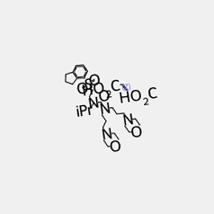 CC(C)N(CCS(=O)(=O)c1cccc2c1CCC2)C(=O)N(CCCN1CCOCC1)CCCN1CCOCC1.O=C(O)/C=C\C(=O)O